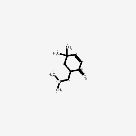 CN(C)CC1CC(C)(C)C=CC1=O